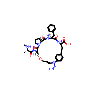 CN[C@@H](C)C(=O)N[C@H]1COC/C=C/N(N=N)c2ccc(cc2)CC(C(=O)O)NC(=O)[C@H](Cc2ccccc2)NC(=O)[C@@H]2CCCN2C1=O